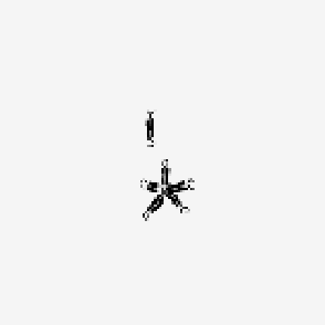 [O]=[Ti](=[O])(=[O])(=[O])=[O].[O]=[Y]